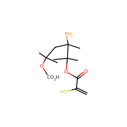 C=C(S)C(=O)OC(C)(C)C(C)(P)CC(C)(C)OC(=O)O